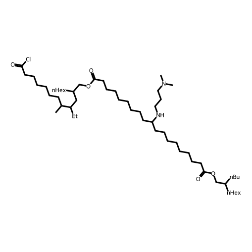 CCCCCCC(CCCC)COC(=O)CCCCCCCCC(CCCCCCCCC(=O)OCC(CCCCCC)CC(CC)C(C)CCCCCCC(=O)Cl)NCCCN(C)C